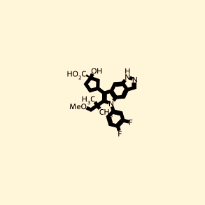 COCC(C)(C)c1c(C2CC[C@@](O)(C(=O)O)C2)c2cc3[nH]ncc3cc2n1-c1ccc(F)c(F)c1